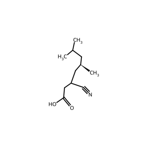 CC(C)C[C@@H](C)CC(C#N)CC(=O)O